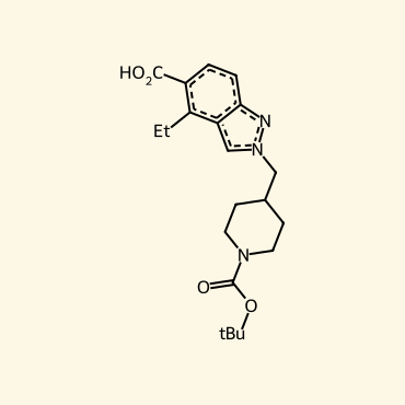 CCc1c(C(=O)O)ccc2nn(CC3CCN(C(=O)OC(C)(C)C)CC3)cc12